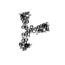 CCOC(=O)NC(COC(=O)CCC(=O)O[C@@H]1O[C@@H]2O[C@@]3(C)CC[C@H]4[C@H](C)CC[C@@H]([C@H]1C)[C@@]24OO3)(COC(=O)CCC(=O)O[C@@H]1O[C@@H]2O[C@@]3(C)CC[C@H]4[C@H](C)CC[C@@H]([C@H]1C)[C@@]24OO3)COC(=O)CCC(=O)O[C@@H]1O[C@@H]2O[C@@]3(C)CC[C@H]4[C@H](C)CC[C@@](C)([C@H]1C)[C@@]24OO3